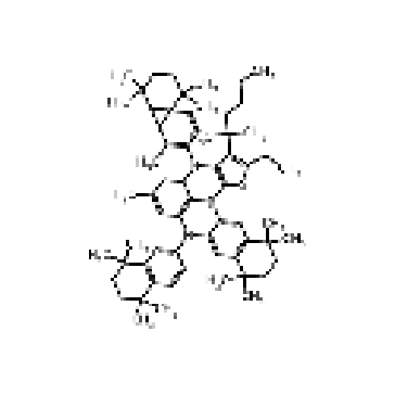 CCCCC(C)(C)c1c(CC)sc2c1N(C1=C(C)C3C4C(C)(C)CCC(C)(C)C34C=C1)C1CC(C)=CC3=C1B2c1cc2c(cc1N3c1ccc3c(c1)C(C)(C)CCC3(C)C)C(C)(C)CCC2(C)C